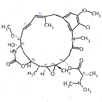 COc1cc2cc(c1Cl)N(C)C(=O)C[C@H](OC(=O)[C@H](C)N(C)C)[C@]1(C)O[C@H]1C(C)[C@@H]1C[C@@](O)(NC(=O)O1)[C@H](OC)/C=C/C=C(\C)C2